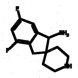 NC1c2cc(F)cc(F)c2CC12CCNCC2